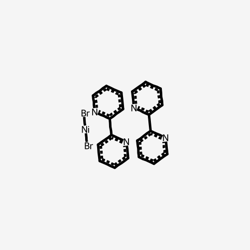 [Br][Ni][Br].c1ccc(-c2ccccn2)nc1.c1ccc(-c2ccccn2)nc1